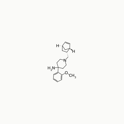 COc1ccccc1C1(N)CCN(C[C@@H]2C[C@H]3C=C[C@H]2C3)CC1